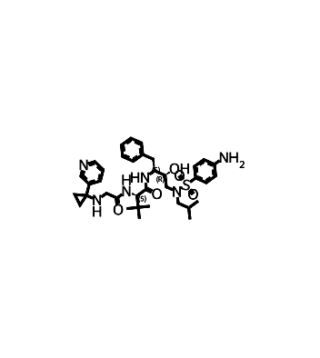 CC(C)CN(C[C@@H](O)[C@H](Cc1ccccc1)NC(=O)[C@@H](NC(=O)CNC1(c2cccnc2)CC1)C(C)(C)C)S(=O)(=O)c1ccc(N)cc1